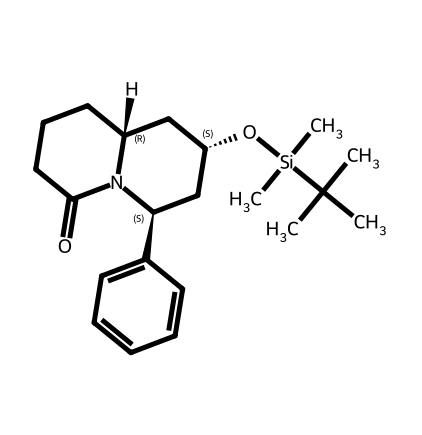 CC(C)(C)[Si](C)(C)O[C@H]1C[C@H]2CCCC(=O)N2[C@H](c2ccccc2)C1